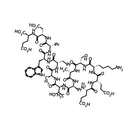 CC(C)C[C@H](NC(=O)[C@H](C)NC(=O)[C@@H](NC(=O)[C@@H](NC(=O)[C@H](C)NC(=O)[C@H](CO)NC(=O)[C@H](CCCCN)NC(=O)[C@H](CCC(=O)O)NC(=O)[C@@H](N)CCC(=O)O)C(C)C)[C@@H](C)O)C(=O)N[C@@H](Cc1c[nH]c2ccccc12)C(=O)N[C@H](C(=O)N[C@@H](CC(=O)O)C(=O)N[C@@H](CCC(=O)O)C(=O)O)C(C)C